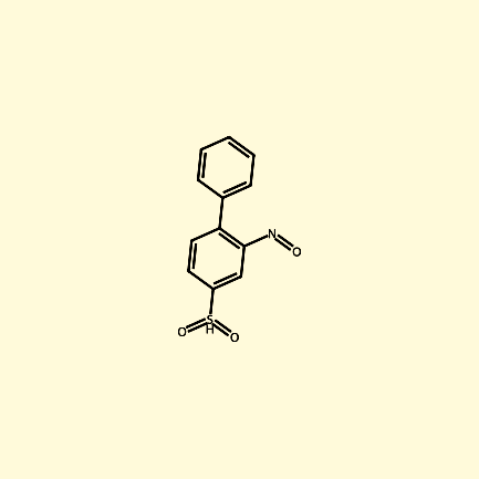 O=Nc1cc([SH](=O)=O)ccc1-c1ccccc1